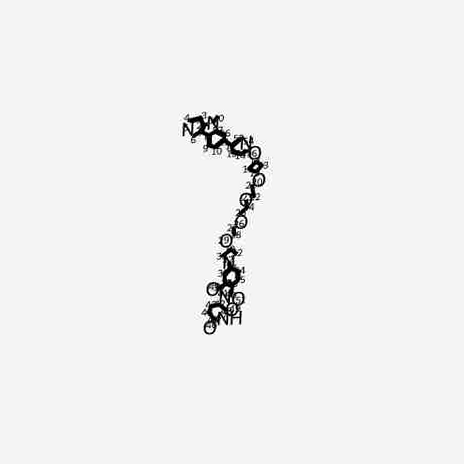 Cn1c2ccncc2c2ccc(-c3ccc(OC4CC(OCCOCCOCCOC5CN(c6ccc7c(c6)C(=O)N(C6CCC(=O)NC6=O)C7=O)C5)C4)nc3)cc21